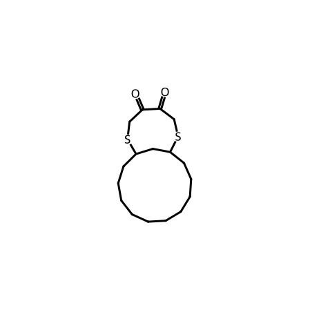 O=C1CSC2CCCCCCCCCCC(C2)SCC1=O